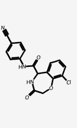 N#Cc1ccc(NC(=O)C2NC(=O)COc3c(Cl)cccc32)cc1